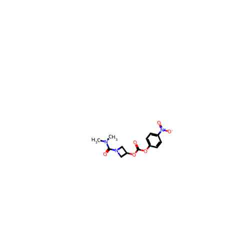 CN(C)C(=O)N1CC(OC(=O)Oc2ccc([N+](=O)[O-])cc2)C1